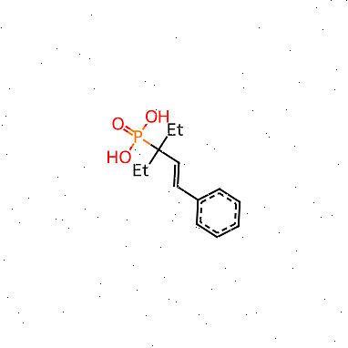 CCC(/C=C/c1ccccc1)(CC)P(=O)(O)O